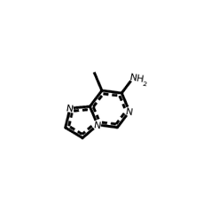 Cc1c(N)ncn2ccnc12